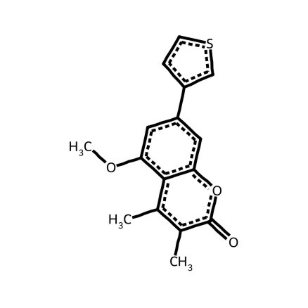 COc1cc(-c2ccsc2)cc2oc(=O)c(C)c(C)c12